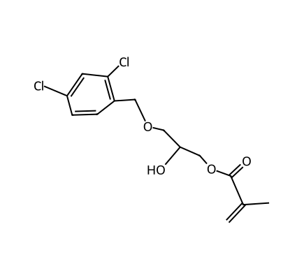 C=C(C)C(=O)OCC(O)COCc1ccc(Cl)cc1Cl